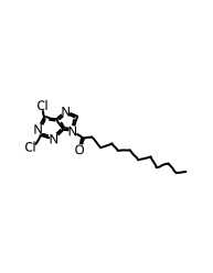 CCCCCCCCCCCC(=O)n1cnc2c(Cl)nc(Cl)nc21